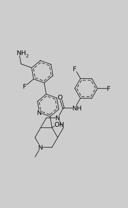 CN1CC2CN(C(=O)Nc3cc(F)cc(F)c3)CC(C1)C2(O)c1ccc(-c2cccc(CN)c2F)cn1